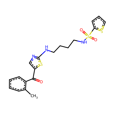 Cc1ccccc1C(=O)c1cnc(NCCCCNS(=O)(=O)c2cccs2)s1